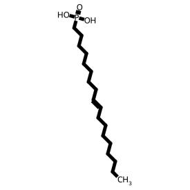 CCCCCCCCC=CCCCCCCCCP(=O)(O)O